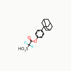 O=C(Oc1ccc(C23CC4CC(CC(C4)C2)C3)cc1)C(F)(F)S(=O)(=O)O